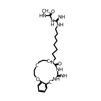 CNC(=O)NC(=N)NCCCCCCCCN1CCCCCCOc2ccccc2CNC(=N)NC1=O